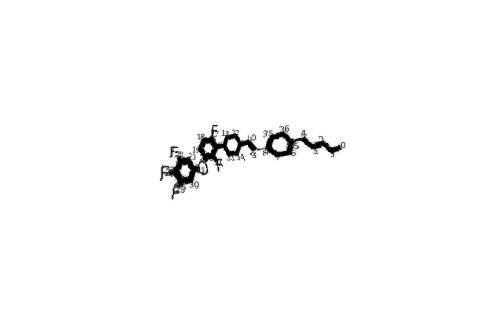 CCCCC[C@H]1CC[C@H](CCC2CCC(c3c(F)c[c]c(Oc4cc(F)c(F)c(F)c4)c3F)CC2)CC1